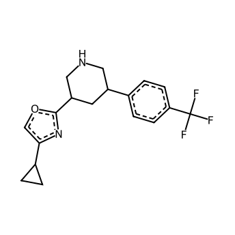 FC(F)(F)c1ccc(C2CNCC(c3nc(C4CC4)co3)C2)cc1